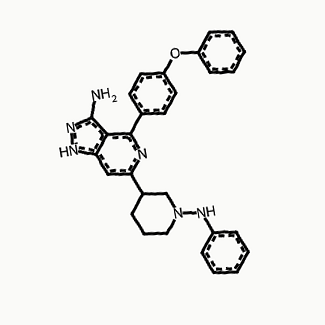 Nc1n[nH]c2cc(C3CCCN(Nc4ccccc4)C3)nc(-c3ccc(Oc4ccccc4)cc3)c12